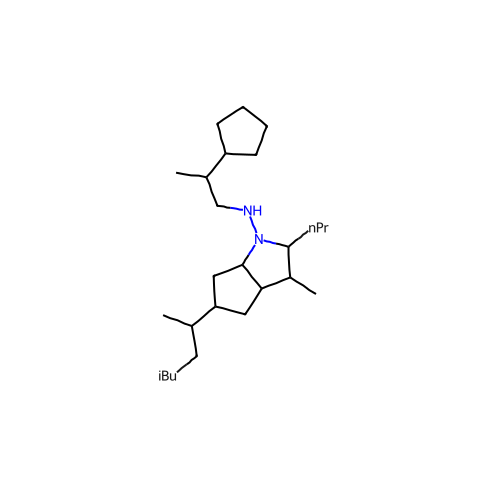 CCCC1C(C)C2CC(C(C)CC(C)CC)CC2N1NCC(C)C1CCCC1